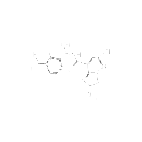 C[C@H]1CN2N=C(Cl)C=C(C(=O)N[C@H](C)c3cccc(C(F)F)c3F)C2=N1